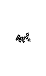 CN/C(=N\C(=N/C(C)C)c1ccc2c(c1)C1(c3ccccc3-c3ccccc31)c1ccccc1-2)c1cc(-c2ccccc2)cc(-c2ccccc2)c1